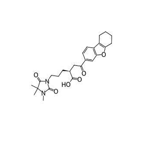 CN1C(=O)N(CCC[C@@H](CC(=O)c2ccc3c4c(oc3c2)CCCC4)C(=O)O)C(=O)C1(C)C